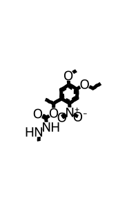 CCOc1cc([N+](=O)[O-])c(C(C)OC(=O)NNC)cc1OC